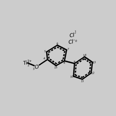 [Cl-].[Cl-].[Ti+2][O]c1cccc(-c2ccccc2)c1